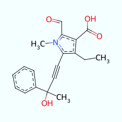 CCc1c(C(=O)O)c(C=O)n(C)c1C#CC(C)(O)c1ccccc1